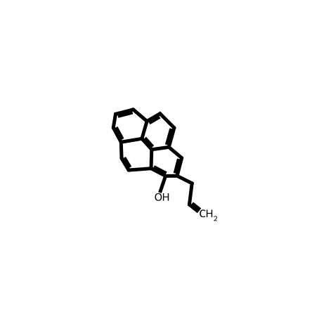 C=CCc1cc2ccc3cccc4ccc(c1O)c2c34